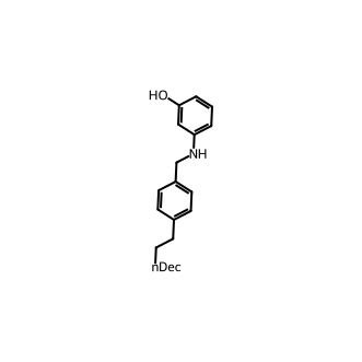 CCCCCCCCCCCCc1ccc(CNc2cccc(O)c2)cc1